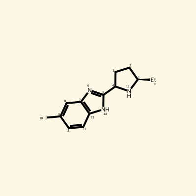 CC[C@@H]1CCC(c2nc3cc(I)ccc3[nH]2)N1